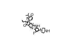 C=CCn1c(=O)c2cnc(Nc3cc(F)cc(N4CCNCC4)c3)nc2n1-c1ccc(=O)n(C(C)C)n1